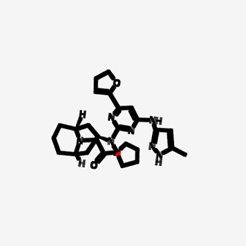 Cc1cc(Nc2cc(C3=CCCO3)nc(N(C)[C@@H]3C[C@H]4CCC[C@@H](C3)N4CC(=O)N3CCCC3)n2)n[nH]1